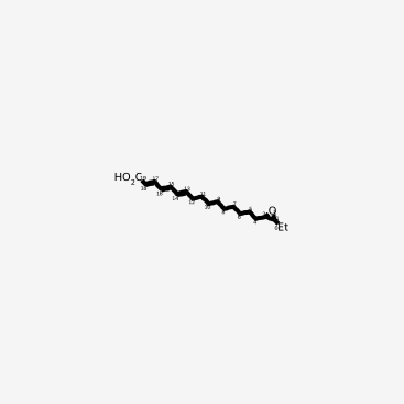 CCC1OC1CCCCCCCCCC=CC=CC=CC(=O)O